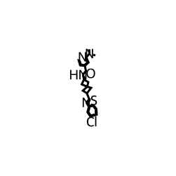 CN(C)c1cc(C(=O)NC2CC3(C2)CC(c2nc4cc(Cl)ccc4s2)C3)ccn1